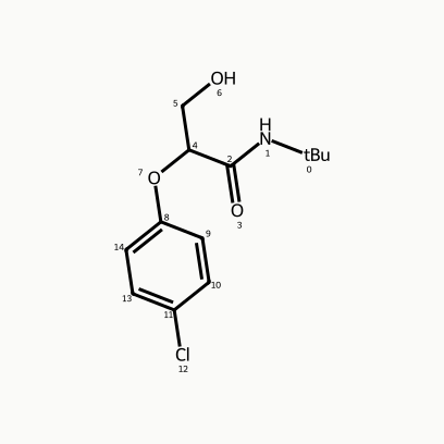 CC(C)(C)NC(=O)C(CO)Oc1ccc(Cl)cc1